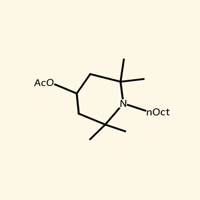 CCCCCCCCN1C(C)(C)CC(OC(C)=O)CC1(C)C